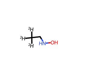 [2H]C([2H])([2H])CNO